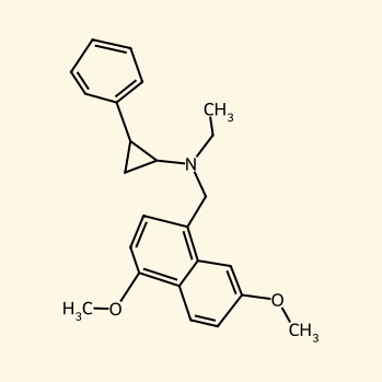 CCN(Cc1ccc(OC)c2ccc(OC)cc12)C1CC1c1ccccc1